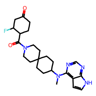 CN(c1ncnc2[nH]ccc12)C1CCC2(CC1)CCN(C(=O)C1CCC(=O)CC1F)CC2